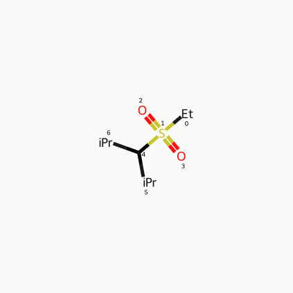 CCS(=O)(=O)C(C(C)C)C(C)C